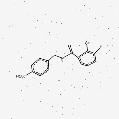 CC(=O)c1c(F)cccc1C(=O)NCc1ccc(C(=O)O)cc1